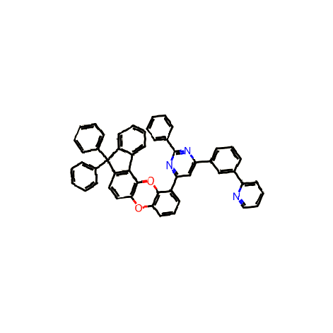 c1ccc(-c2nc(-c3cccc(-c4ccccn4)c3)cc(-c3cccc4c3Oc3c(ccc5c3-c3ccccc3C5(c3ccccc3)c3ccccc3)O4)n2)cc1